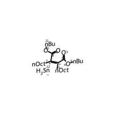 CCCCCCCC/C(C(=O)OCCCC)=C(\CCCCCCCC)C(=O)OCCCC.[SnH2]